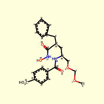 CCOCOC[C@H](C[C@H](Cc1ccccc1)C(=O)NO)NC(=O)c1ccc(C(=O)O)cc1